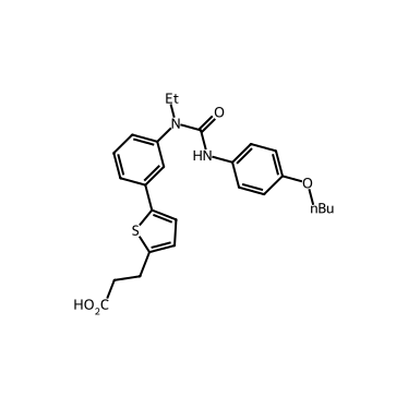 CCCCOc1ccc(NC(=O)N(CC)c2cccc(-c3ccc(CCC(=O)O)s3)c2)cc1